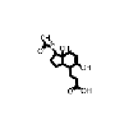 CC(=O)OC1CCC2C(CCC(=O)O)C(O)=CCC12C